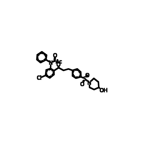 CC(=O)C(=O)N(c1ccccc1)c1cc(Cl)ccc1C(=O)CCc1ccc(S(=O)(=O)N2CCC(O)CC2)cc1